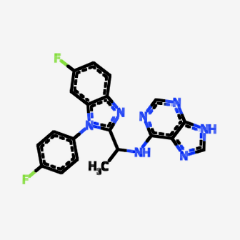 CC(Nc1ncnc2[nH]cnc12)c1nc2ccc(F)cc2n1-c1ccc(F)cc1